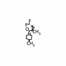 C=C1CCN(C(=O)[C@]2(C)C[C@H]2C(F)F)CC1